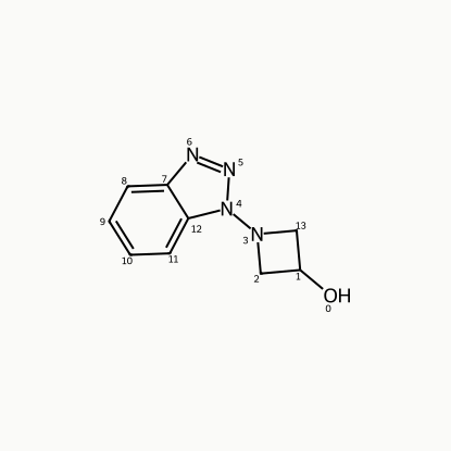 OC1CN(n2nnc3ccccc32)C1